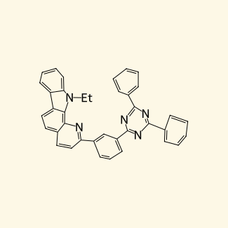 CCn1c2ccccc2c2ccc3ccc(-c4cccc(-c5nc(-c6ccccc6)nc(-c6ccccc6)n5)c4)nc3c21